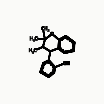 CC1C(c2ccccc2O)c2ccccc2OC1(C)C